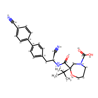 CC(C)(C)[C@@]1(C(=O)N[C@H](C#N)Cc2ccc(-c3ccc(C#N)cc3)cc2)CN(C(=O)O)CCCO1